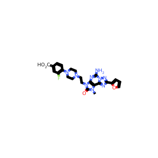 Cn1c(=O)n(CCN2CCN(c3ccc(C(=O)O)cc3F)CC2)c2nc(N)n3nc(-c4ccco4)nc3c21